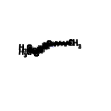 CCCCCCCCCC/C=C/Oc1ccc(-c2ccc(C(=O)OCC(C)CC)cc2)cc1